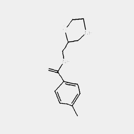 Cc1ccc(C(=O)NCC2CNCCO2)cc1